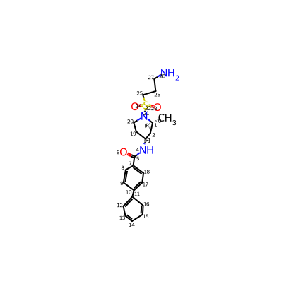 C[C@@H]1C[C@H](NC(=O)c2ccc(-c3ccccc3)cc2)CCN1S(=O)(=O)CCCN